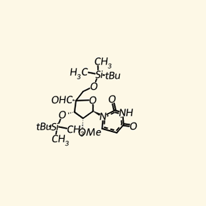 CO[C@H]1[C@H](n2ccc(=O)[nH]c2=O)O[C@](C=O)(CO[Si](C)(C)C(C)(C)C)[C@H]1O[Si](C)(C)C(C)(C)C